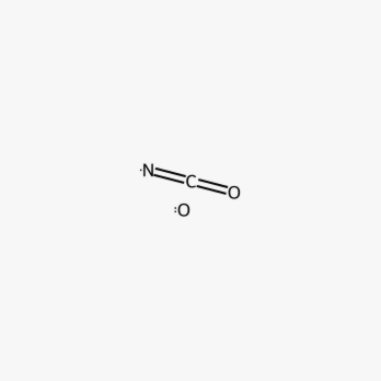 [N]=C=O.[O]